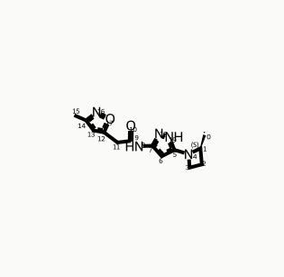 [CH2][C@H]1CCN1c1cc(NC(=O)Cc2cc(C)no2)n[nH]1